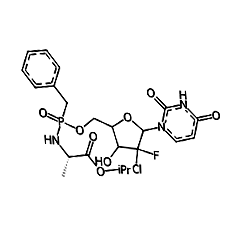 CC(C)OC(=O)[C@H](C)NP(=O)(Cc1ccccc1)OCC1OC(n2ccc(=O)[nH]c2=O)C(F)(Cl)C1O